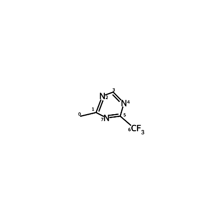 Cc1ncnc(C(F)(F)F)n1